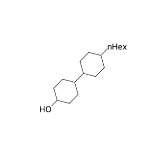 CCCCCCC1CCC(C2CCC(O)CC2)CC1